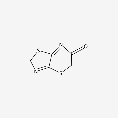 O=C1CSC2=NCSC2=N1